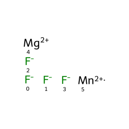 [F-].[F-].[F-].[F-].[Mg+2].[Mn+2]